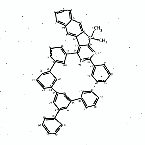 C[Si]1(C)c2cc3ccccc3cc2-c2c(-c3cccc(-c4cccc(-c5cc(-c6ccccc6)cc(-c6ccccc6)c5)c4)c3)nc(-c3ccccc3)nc21